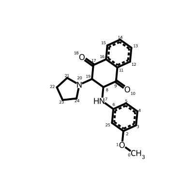 COc1cccc(NC2C(=O)c3ccccc3C(=O)C2N2CCCC2)c1